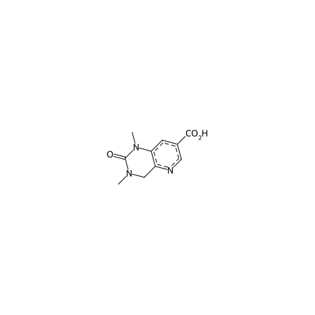 CN1Cc2ncc(C(=O)O)cc2N(C)C1=O